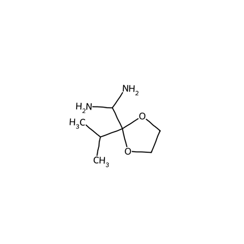 CC(C)C1(C(N)N)OCCO1